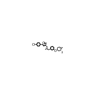 CC[C@@H]1C[C@H](Oc2cccc(CN(C)Cc3cc(-c4ccc(Cl)cc4)on3)c2)CCN1C